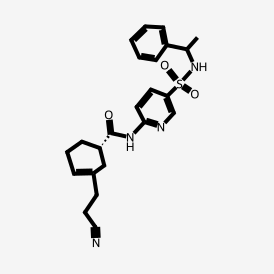 CC(NS(=O)(=O)c1ccc(NC(=O)[C@H]2CCC=C(CCC#N)C2)nc1)c1ccccc1